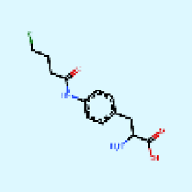 NC(Cc1ccc(NC(=O)CCCCl)cc1)C(=O)O